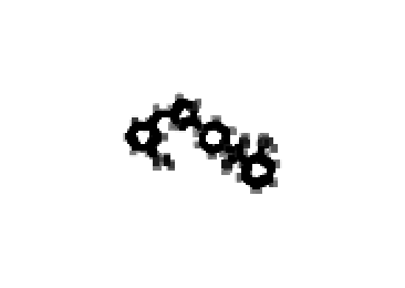 Cc1cccc(Cc2csc(N3CCN(S(=O)(=O)c4ccccc4C(F)(F)F)CC3)n2)c1